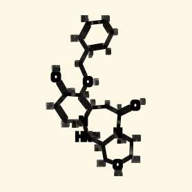 O=C1Cc2c(OCc3ccccc3)c(=O)ccn2NC2COCCN12